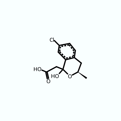 C[C@@H]1Cc2ccc(Cl)cc2C(O)(CC(=O)O)O1